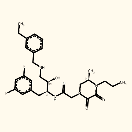 CCCN1C(=O)C(=O)N(CC(=O)N[C@@H](Cc2cc(F)cc(F)c2)[C@H](O)CNCc2cccc(CC)c2)C[C@H]1C